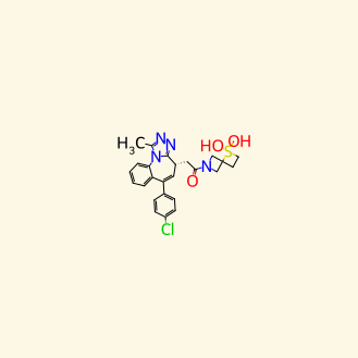 Cc1nnc2n1-c1ccccc1C(c1ccc(Cl)cc1)=C[C@H]2CC(=O)N1CC2(CCS2(O)O)C1